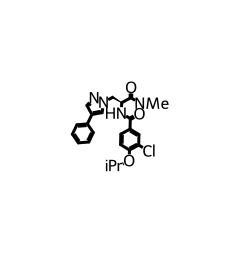 CNC(=O)[C@H](Cn1cc(-c2ccccc2)cn1)NC(=O)c1ccc(OC(C)C)c(Cl)c1